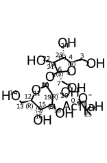 CC(=O)[O-].OC[C@H]1O[C@@](CO)(O[C@H]2O[C@H](CO)[C@@H](O)[C@H](O)[C@H]2O)[C@@H](O)[C@@H]1O.[K+].[NaH]